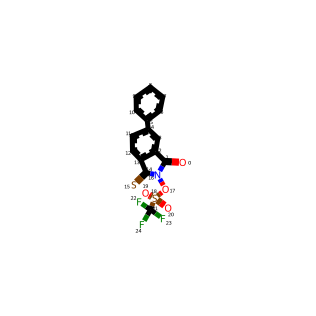 O=C1c2cc(-c3ccccc3)ccc2C(=S)N1OS(=O)(=O)C(F)(F)F